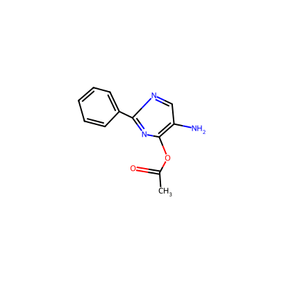 CC(=O)Oc1nc(-c2ccccc2)ncc1N